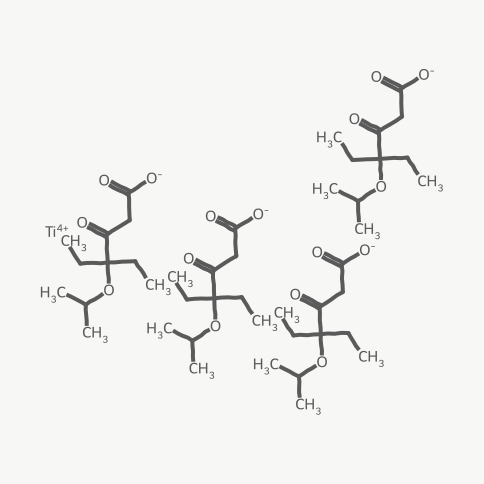 CCC(CC)(OC(C)C)C(=O)CC(=O)[O-].CCC(CC)(OC(C)C)C(=O)CC(=O)[O-].CCC(CC)(OC(C)C)C(=O)CC(=O)[O-].CCC(CC)(OC(C)C)C(=O)CC(=O)[O-].[Ti+4]